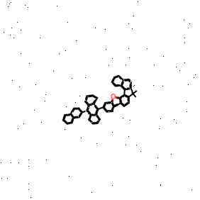 CC1(C)c2ccc3ccccc3c2-c2c1ccc1c2oc2cc(-c3c4ccccc4c(-c4ccc5ccccc5c4)c4ccccc34)ccc21